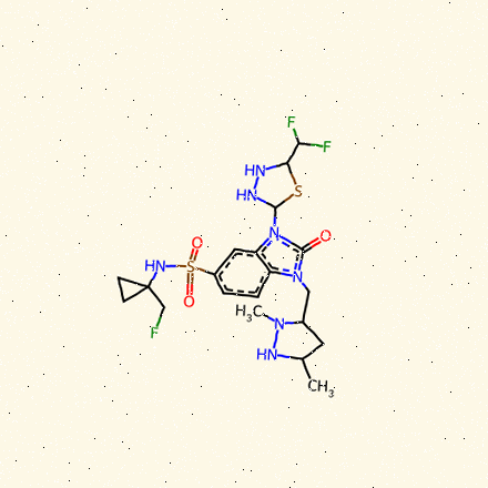 CC1CC(Cn2c(=O)n(C3NNC(C(F)F)S3)c3cc(S(=O)(=O)NC4(CF)CC4)ccc32)N(C)N1